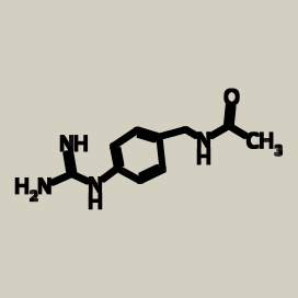 CC(=O)NCc1ccc(NC(=N)N)cc1